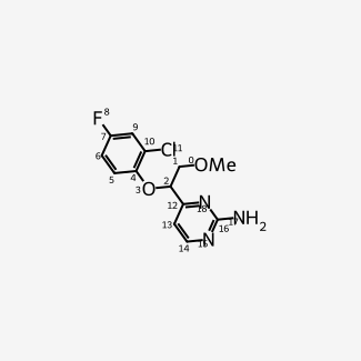 COCC(Oc1ccc(F)cc1Cl)c1ccnc(N)n1